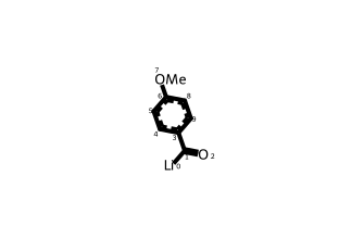 [Li][C](=O)c1ccc(OC)cc1